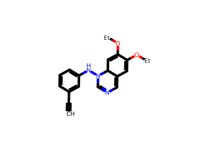 C#Cc1cccc(NN2C=NC=C3C=C(OCC)C(OCC)=CC32)c1